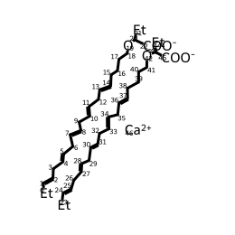 CCC=CCC=CCC=CCC=CCC=CCCCCOC(CC)C(=O)[O-].CCC=CCC=CCC=CCC=CCC=CCCCCOC(CC)C(=O)[O-].[Ca+2]